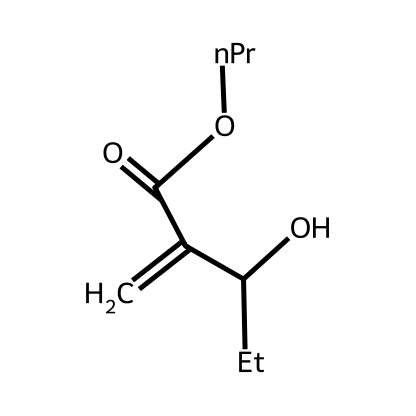 C=C(C(=O)OCCC)C(O)CC